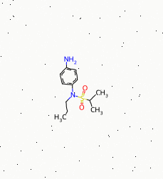 CCCN(c1ccc(N)cc1)S(=O)(=O)C(C)C